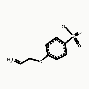 C=CCOc1ccc(S(=O)(=O)Cl)cc1